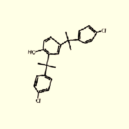 CC(C)(c1ccc(Cl)cc1)c1ccc(O)c(C(C)(C)c2ccc(Cl)cc2)c1